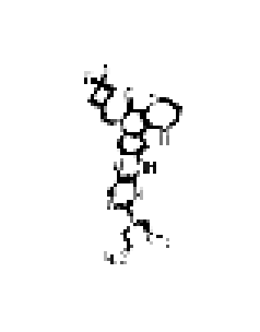 C=CN(CCC)c1ncc(Cl)c(Nc2ccc3c(c2)c2c(c(=O)n3CC3CC(F)(F)C3)OCCCN2)n1